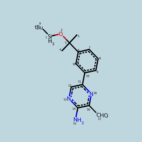 CC(C)(C)[SiH2]OC(C)(C)c1cccc(-c2cnc(N)c(C=O)n2)c1